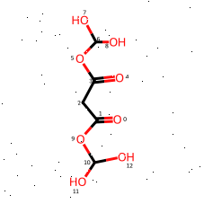 O=C(CC(=O)OC(O)O)OC(O)O